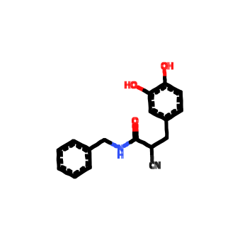 N#CC(Cc1ccc(O)c(O)c1)C(=O)NCc1ccccc1